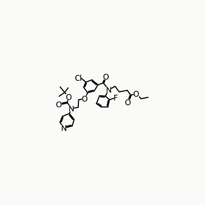 CCOC(=O)CCCN(C(=O)c1cc(Cl)cc(OCCN(C(=O)OC(C)(C)C)c2ccncc2)c1)c1ccccc1F